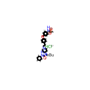 CCCCN(C(=O)NC1CCCCC1)C1CCN(CCc2ccc(Oc3ccc(NS(C)(=O)=O)cc3)cc2)CC1.Cl